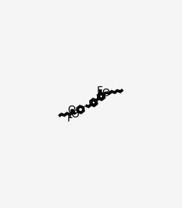 CCCCCCOc1ccc(-c2ccc(CC[C@H]3CC[C@H](OC(=O)[C@@H](F)CCCC)CC3)cc2)cc1F